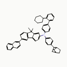 CC1(C)c2ccc(-c3ccc4ccccc4c3)cc2-c2ccc(N(c3ccc(-c4ccccc4C4CCCCC4)cc3)c3ccc(C4CC5CCC4C5)cc3)cc21